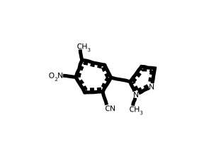 Cc1cc(-c2ccnn2C)c(C#N)cc1[N+](=O)[O-]